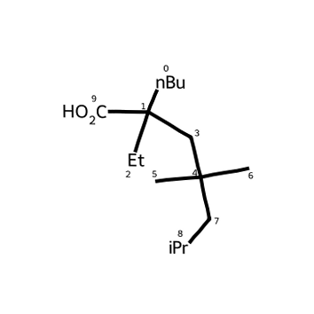 CCCCC(CC)(CC(C)(C)CC(C)C)C(=O)O